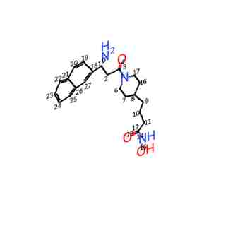 N[C@H](CC(=O)N1CCC(CCCC(=O)NO)CC1)c1ccc2ccccc2c1